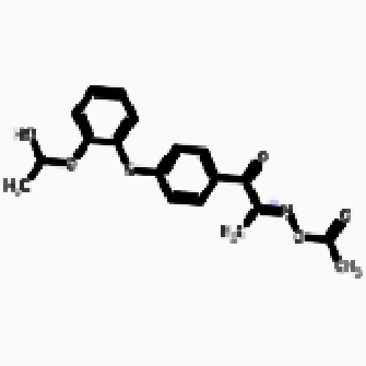 CC(=O)O/N=C(\C)C(=O)c1ccc(Sc2ccccc2OC(C)O)cc1